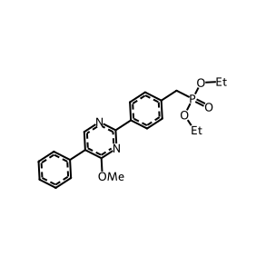 CCOP(=O)(Cc1ccc(-c2ncc(-c3ccccc3)c(OC)n2)cc1)OCC